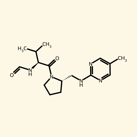 Cc1cnc(NC[C@@H]2CCCN2C(=O)[C@@H](NC=O)C(C)C)nc1